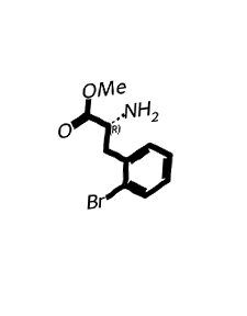 COC(=O)[C@H](N)Cc1ccccc1Br